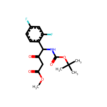 COC(=O)CC(=O)C(NC(=O)OC(C)(C)C)c1ccc(F)cc1F